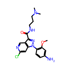 COc1cc(N)ccc1-n1nc(C(=O)NCCCN(C)C)c2cnc(Cl)cc21